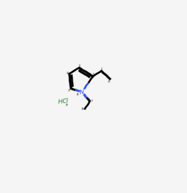 CCc1cccn1CC.Cl